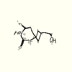 O=C1CC2(CC(CO)C2)NC(=O)N1